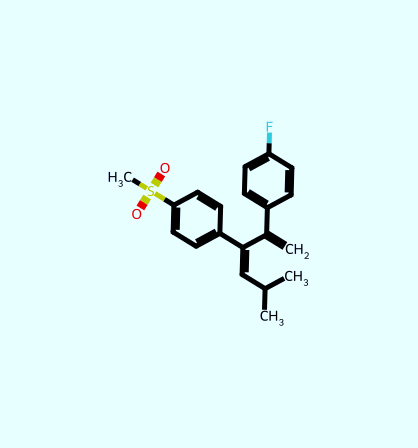 C=C(C(=CC(C)C)c1ccc(S(C)(=O)=O)cc1)c1ccc(F)cc1